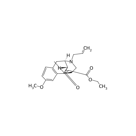 C=CCN1CC[C@]23CC(=O)C(C(=O)OCC)C[C@H]2[C@H]1Cc1ccc(OC)cc13